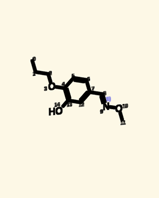 CCCOc1ccc(/C=N/OC)cc1O